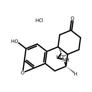 Cl.O=C1CC[C@@]2(O)[C@H]3Cc4c(cc(O)c5c4O5)[C@@]2(CCN3)C1